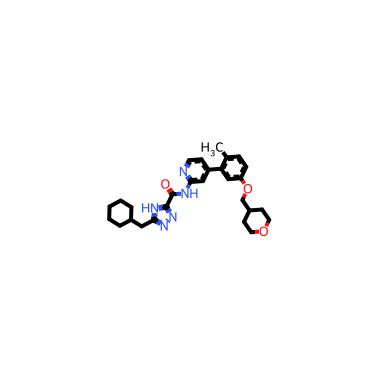 Cc1ccc(OCC2CCOCC2)cc1-c1ccnc(NC(=O)c2nnc(CC3CCCCC3)[nH]2)c1